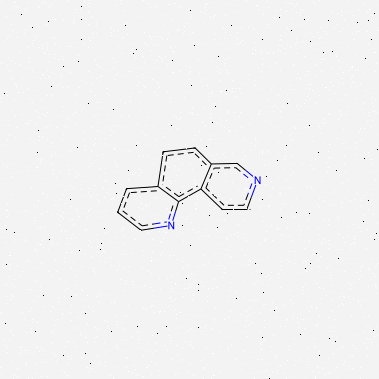 [c]1cc2c(ccc3cccnc32)cn1